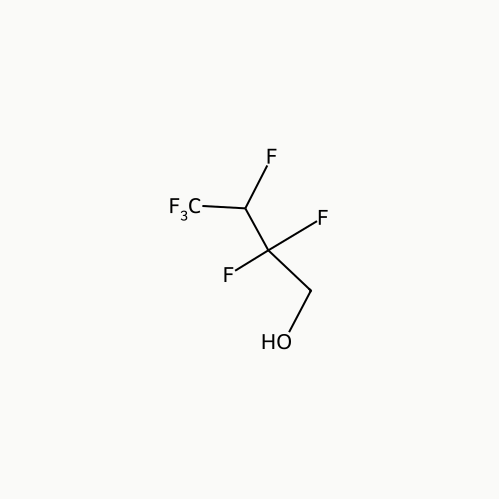 OCC(F)(F)C(F)C(F)(F)F